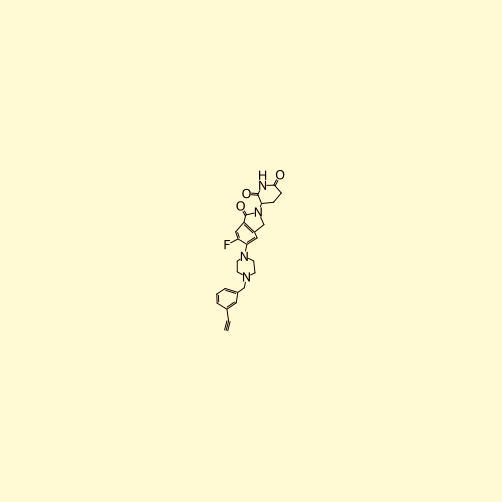 C#Cc1cccc(CN2CCN(c3cc4c(cc3F)C(=O)N(C3CCC(=O)NC3=O)C4)CC2)c1